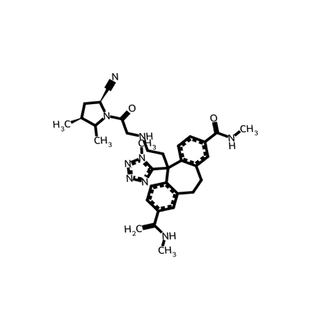 C=C(NC)c1ccc2c(c1)CCc1cc(C(=O)NC)ccc1C2(CCNCC(=O)N1C(C)[C@@H](C)C[C@H]1C#N)c1nnnn1C